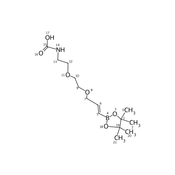 CC1(C)OB(/C=C/COCCOCCNC(=O)O)OC1(C)C